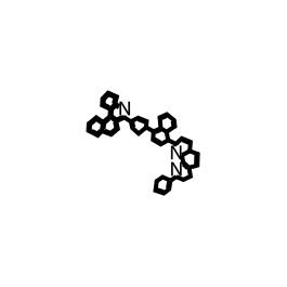 C1=CCCC(C2=NC3=C(C=CC4C=CC(C5C=CC(C6C=CC(c7nc8ccccc8c8c7ccc7ccccc78)=CC6)=C6C=CC=CC65)=NC34)CC2)=C1